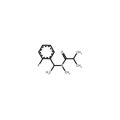 CC(C)C(=O)N(C)C(C)c1ccccc1F